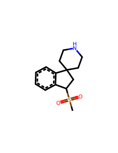 CS(=O)(=O)C1CC2(CCNCC2)c2ccccc21